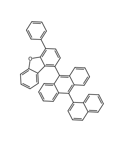 c1ccc(-c2ccc(-c3c4ccccc4c(-c4cccc5ccccc45)c4ccccc34)c3c2oc2ccccc23)cc1